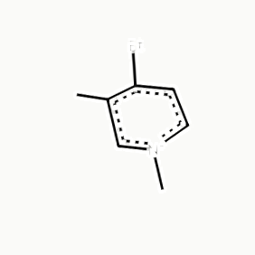 CCc1cc[n+](C)cc1C